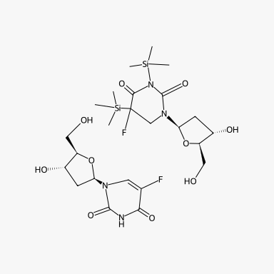 C[Si](C)(C)N1C(=O)N([C@H]2C[C@H](O)[C@@H](CO)O2)CC(F)([Si](C)(C)C)C1=O.O=c1[nH]c(=O)n([C@H]2C[C@H](O)[C@@H](CO)O2)cc1F